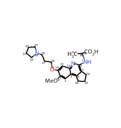 COc1cc2c3c(c(NC(C)C(=O)O)nc2cc1OCCCN1CCCC1)CCC3